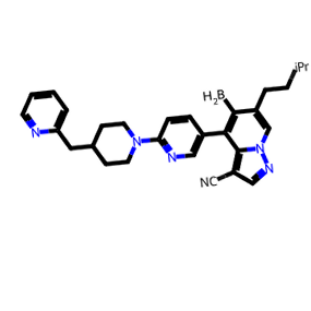 Bc1c(CCC(C)C)cn2ncc(C#N)c2c1-c1ccc(N2CCC(Cc3ccccn3)CC2)nc1